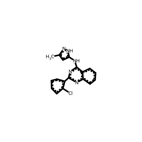 Cc1cc(Nc2nc(-c3ccccc3Cl)nc3ccccc23)[nH]n1